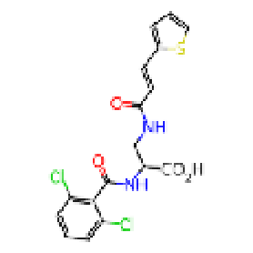 O=C(/C=C/c1cccs1)NC[C@H](NC(=O)c1c(Cl)cccc1Cl)C(=O)O